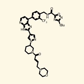 CC(C)(C)c1noc(C(=O)NCc2ccc(-c3ccnc4[nH]c(-c5cnn(C6CCCN(C(=O)/C=C/CN7CCOCC7)C6)c5)nc34)cc2C(F)(F)F)n1